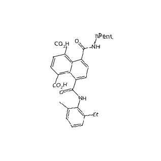 CCCCCNC(=O)c1ccc(C(=O)Nc2c(C)cccc2CC)c2c(C(=O)O)ccc(C(=O)O)c12